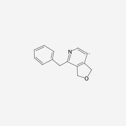 [c]1cnc(Cc2ccccc2)c2c1COC2